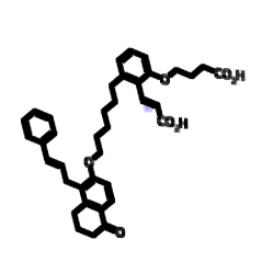 O=C(O)/C=C/c1c(CCCCCCOc2ccc3c(c2CC=Cc2ccccc2)CCCC3=O)cccc1OCCCC(=O)O